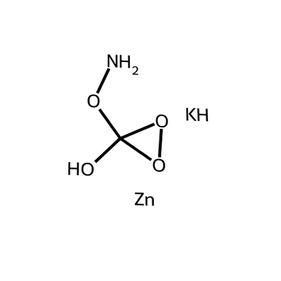 NOC1(O)OO1.[KH].[Zn]